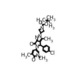 Cc1cc(N2C(=O)c3nn(C4CN(C(=O)OC(C)(C)C)C4)c(C)c3C2c2ccc(Cl)cc2)cn(C)c1=O